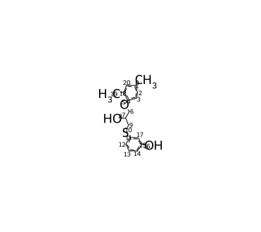 Cc1ccc(OCC(O)CSc2cccc(O)c2)c(C)c1